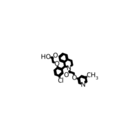 Cc1cncc(OCC(=O)N2CCc3ccccc3C2c2cc(Cl)ccc2OCC(=O)O)c1